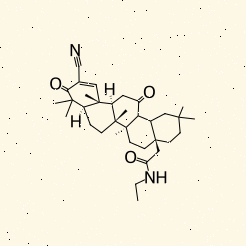 CCNC(=O)C[C@]12CCC(C)(C)CC1C1C(=O)C[C@@H]3[C@@]4(C)C=C(C#N)C(=O)C(C)(C)[C@@H]4CC[C@@]3(C)[C@]1(C)CC2